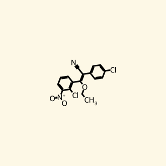 CCOC(=C(C#N)c1ccc(Cl)cc1)c1cccc([N+](=O)[O-])c1Cl